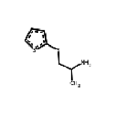 CC(N)CSc1cccs1